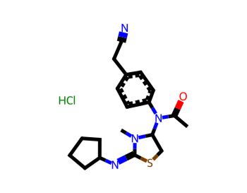 CC(=O)N(c1ccc(CC#N)cc1)C1CSC(=NC2CCCC2)N1C.Cl